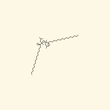 CCCCCCCCCCCCCCCC(=O)C(C)(CC(C)C)OC(C)(CC(C)C)C(=O)CCCCCCCCCCCCCCC